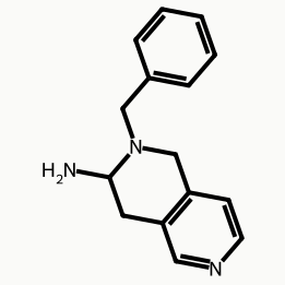 NC1Cc2cnccc2CN1Cc1ccccc1